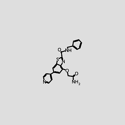 NC(=O)COc1cc(-c2ccncc2)cc2sc(C(=O)NCc3ccccc3)nc12